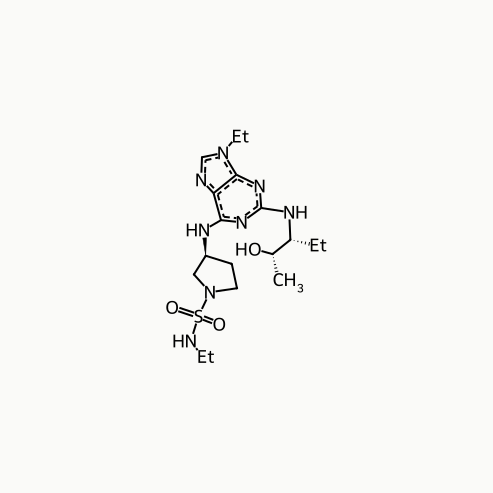 CCNS(=O)(=O)N1CC[C@H](Nc2nc(N[C@H](CC)[C@H](C)O)nc3c2ncn3CC)C1